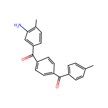 Cc1ccc(C(=O)c2ccc(C(=O)c3ccc(C)c(N)c3)cc2)cc1